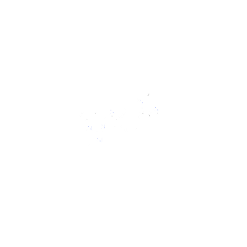 CNc1nc(C)cc(Nc2cccc(-c3cnccn3)c2)n1